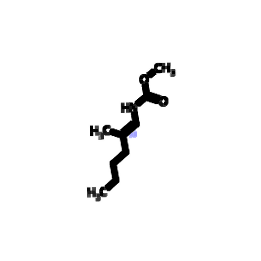 CCCC/C(C)=C/NC(=O)OC